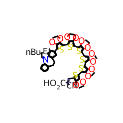 CCCCC(CC)CN1c2ccccc2CCc2cc(-c3sc(-c4sc(-c5sc(-c6sc(-c7sc(-c8sc(/C=C(\C#N)C(=O)O)c9c8OCCO9)c8c7OCCO8)c7c6OCCO7)c6c5OCCO6)c5c4OCCO5)c4c3OCCO4)ccc21